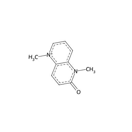 Cn1c(=O)ccc2c1ccc[n+]2C